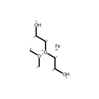 COC.OCCOCCO.[Fe]